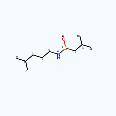 CC(C)CCCN[S+]([O-])CC(C)C